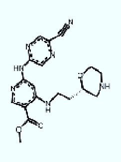 COC(=O)c1cnc(Nc2cnc(C#N)cn2)cc1NCC[C@H]1CNCCO1